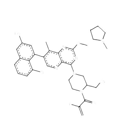 C=C(F)C(=O)N1CCN(c2nc(OC[C@@H]3CCCN3C)nc3c(C)c(-c4cc(O)cc5cccc(Cl)c45)cnc23)CC1CC#N